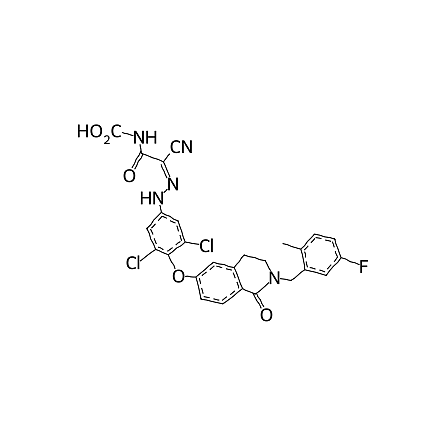 Cc1ccc(F)cc1CN1CCc2cc(Oc3c(Cl)cc(NN=C(C#N)C(=O)NC(=O)O)cc3Cl)ccc2C1=O